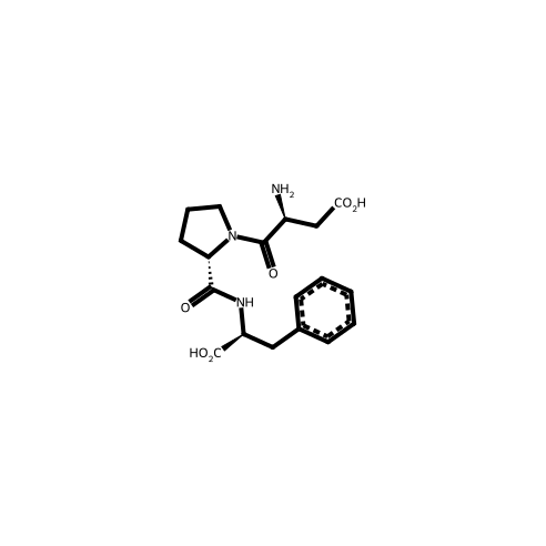 N[C@@H](CC(=O)O)C(=O)N1CCC[C@H]1C(=O)N[C@@H](Cc1ccccc1)C(=O)O